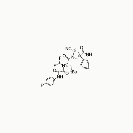 CC(C)(C)C[C@@H](C(=O)N1C[C@]2(C[C@H]1C#N)C(=O)Nc1ccccc12)N(C(=O)C(=O)Nc1ccc(F)cc1)C(F)F